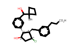 CCCC1(C(O)c2cccc([C@@H]3[C@@H](Cc4cccc(CCC(=O)O)c4)[C@@H](Cl)C[C@H]3O)c2)CCC1